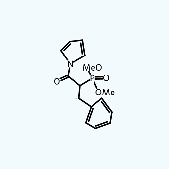 COP(=O)(OC)C([CH]c1ccccc1)C(=O)n1cccc1